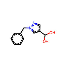 OC(O)c1cnn(Cc2ccccc2)c1